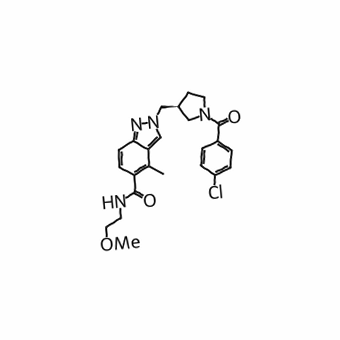 COCCNC(=O)c1ccc2nn(C[C@H]3CCN(C(=O)c4ccc(Cl)cc4)C3)cc2c1C